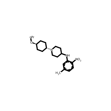 CCCO[C@H]1CC[C@H](N2CCC(Nc3cc(C)ccc3[N+](=O)[O-])CC2)CC1